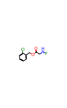 O=C(CNF)OCc1ccccc1Cl